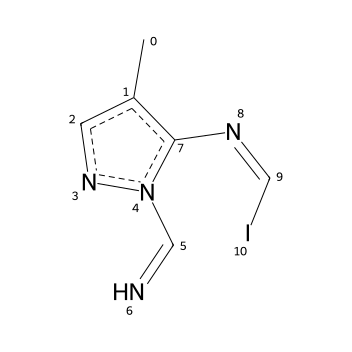 Cc1cnn(C=N)c1/N=C\I